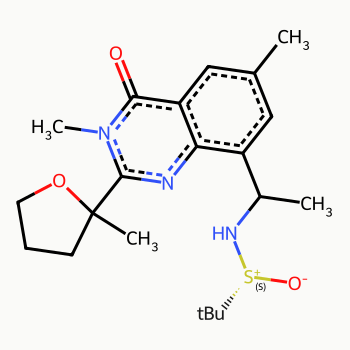 Cc1cc(C(C)N[S@+]([O-])C(C)(C)C)c2nc(C3(C)CCCO3)n(C)c(=O)c2c1